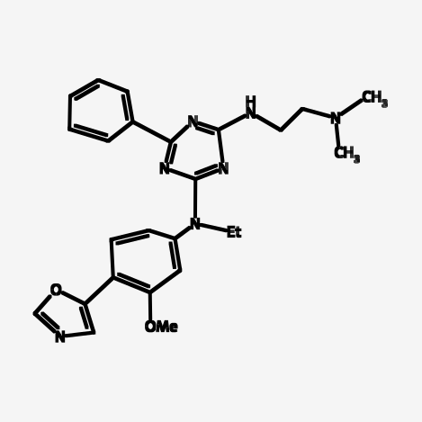 CCN(c1ccc(-c2cnco2)c(OC)c1)c1nc(NCCN(C)C)nc(-c2ccccc2)n1